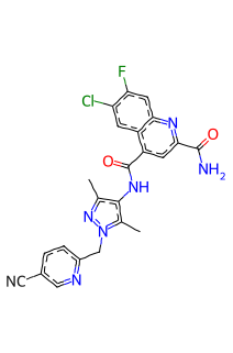 Cc1nn(Cc2ccc(C#N)cn2)c(C)c1NC(=O)c1cc(C(N)=O)nc2cc(F)c(Cl)cc12